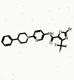 O=C(Nc1ccc(N2CCC(c3ccccc3)CC2)nc1)c1oc(Br)nc1C(F)(F)F